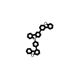 c1ccc2c(c1)oc1ccc(-c3ccc4c(c3)c3ccccc3n4-c3ccc(-c4cccc5oc6ccccc6c45)cc3)cc12